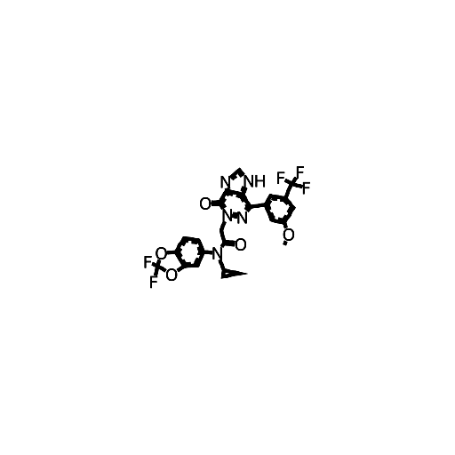 COc1cc(-c2nn(CC(=O)N(c3ccc4c(c3)OC(F)(F)O4)C3CC3)c(=O)c3nc[nH]c23)cc(C(F)(F)F)c1